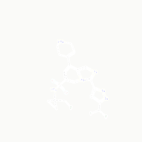 O=S(=O)(NC1(CF)CC1)c1cc(C2=CCNCC2)c2cnc(-c3nnc(C(F)F)s3)n2c1